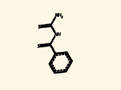 NC(=S)NC(=S)c1ccccc1